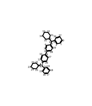 c1ccc(C(c2ccc(-c3ccc(N(c4ccccc4)C4CCCCC4)cc3)cc2)C2CCCCC2)cc1